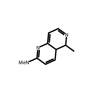 CNC1=NC2=CC=NC(C)C2C=C1